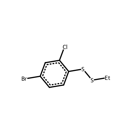 CCSSc1ccc(Br)cc1Cl